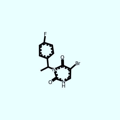 CC(c1ccc(F)cc1)n1c(=O)[nH]cc(Br)c1=O